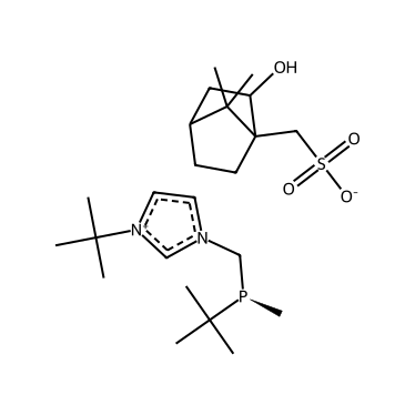 CC1(C)C2CCC1(CS(=O)(=O)[O-])C(O)C2.C[P@](Cn1cc[n+](C(C)(C)C)c1)C(C)(C)C